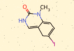 CN1C(=O)NC=C2CC(I)=CC=C21